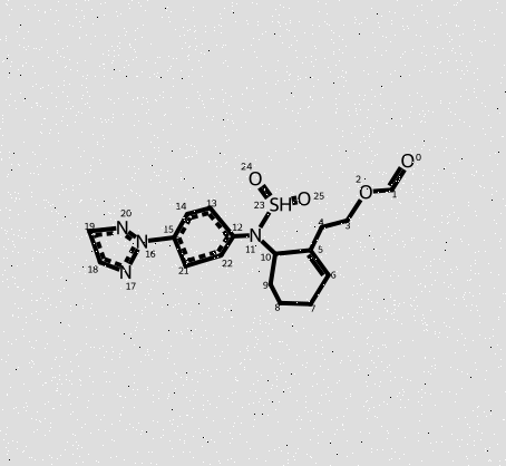 O=COCCC1=CCCCC1N(c1ccc(-n2nccn2)cc1)[SH](=O)=O